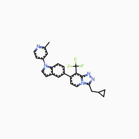 Cc1cc(-n2ccc3cc(-c4ccn5c(CC6CC6)nnc5c4C(F)(F)F)ccc32)ccn1